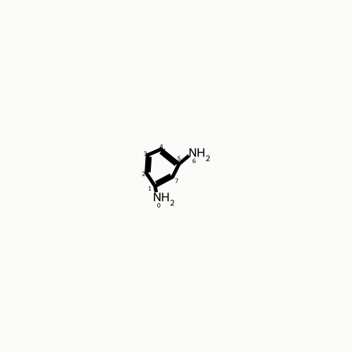 Nc1[c]c[c]c(N)c1